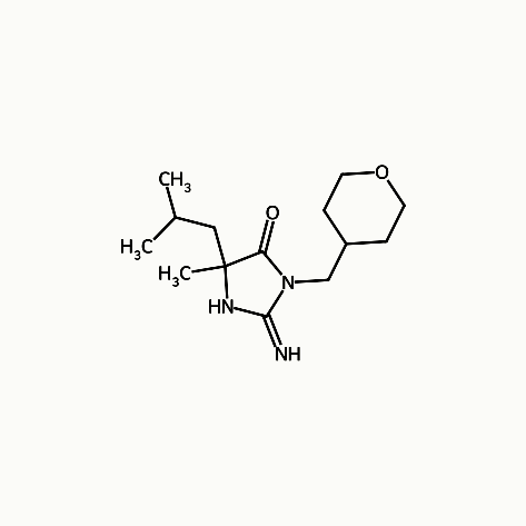 CC(C)CC1(C)NC(=N)N(CC2CCOCC2)C1=O